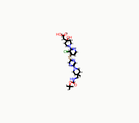 CC1(CNC(=O)OC(C)(C)C)CCN(c2cnc(Sc3ccnc(N4CCC(O)(CC(=O)O)CC4)c3Cl)cn2)CC1